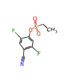 CCS(=O)(=O)Oc1cc(F)c(C#N)cc1F